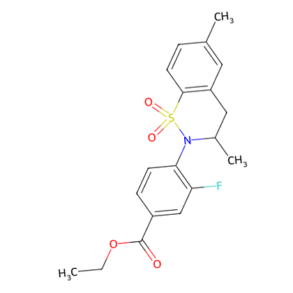 CCOC(=O)c1ccc(N2C(C)Cc3cc(C)ccc3S2(=O)=O)c(F)c1